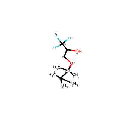 CC(C)(C)[Si](C)(C)OCC(O)C(F)(F)F